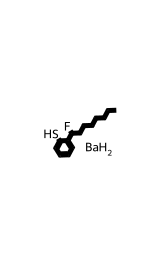 CCCCCCCC(F)c1ccccc1S.[BaH2]